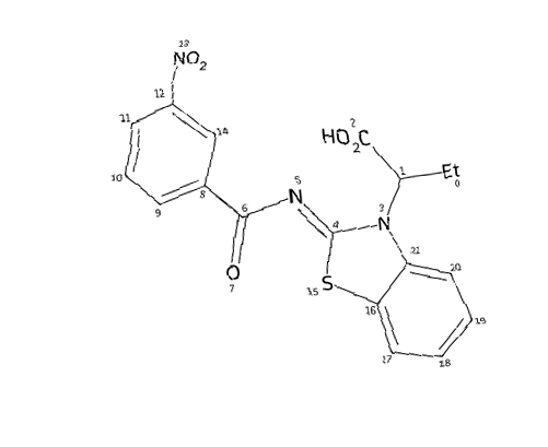 CCC(C(=O)O)n1c(=NC(=O)c2cccc([N+](=O)[O-])c2)sc2ccccc21